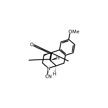 COc1ccc2c(c1)[C@]13CCN(C#N)[C@H](C2)[C@@H]1CC(C)C(=O)C3